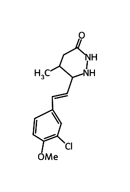 COc1ccc(/C=C/C2NNC(=O)CC2C)cc1Cl